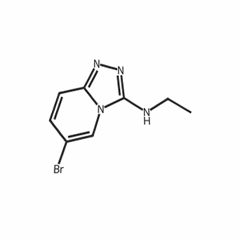 CCNc1nnc2ccc(Br)cn12